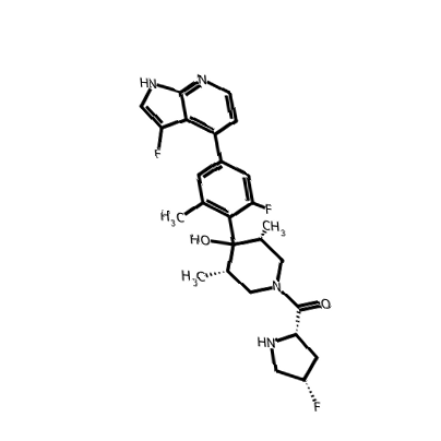 Cc1cc(-c2ccnc3[nH]cc(F)c23)cc(F)c1C1(O)[C@H](C)CN(C(=O)[C@@H]2C[C@H](F)CN2)C[C@@H]1C